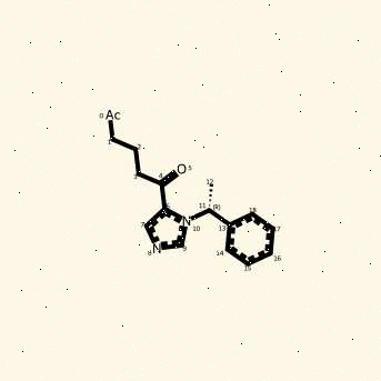 CC(=O)CCCC(=O)c1cncn1[C@H](C)c1ccccc1